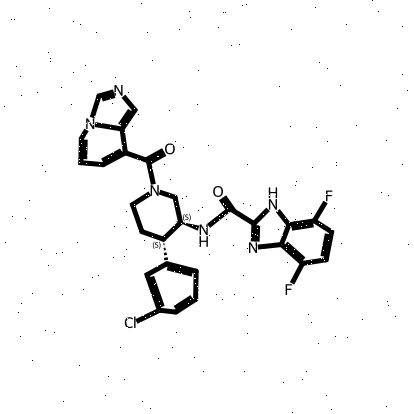 O=C(N[C@@H]1CN(C(=O)c2cccn3cncc23)CC[C@H]1c1cccc(Cl)c1)c1nc2c(F)ccc(F)c2[nH]1